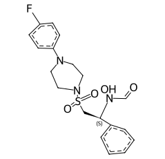 O=CN(O)[C@H](CS(=O)(=O)N1CCN(c2ccc(F)cc2)CC1)c1ccccc1